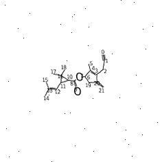 C#CCC1=C(C)C(OC(=O)C2C(C=C(C)C)C2(C)C)CC1=C